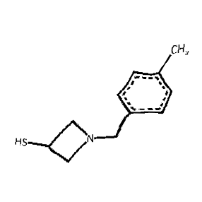 Cc1ccc(CN2CC(S)C2)cc1